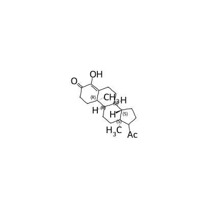 CC(=O)C1CC[C@H]2[C@@H]3CCC4=C(O)C(=O)CC[C@]4(C)[C@@H]3CC[C@]12C